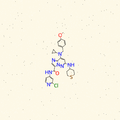 COc1ccc(CN(c2cc(NC3CCSCC3)nn3c(C(=O)Nc4ccnc(Cl)c4)cnc23)C2CC2)cc1